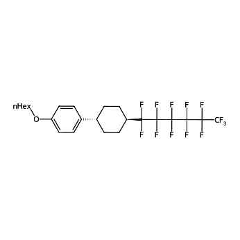 CCCCCCOc1ccc([C@H]2CC[C@H](C(F)(F)C(F)(F)C(F)(F)C(F)(F)C(F)(F)C(F)(F)F)CC2)cc1